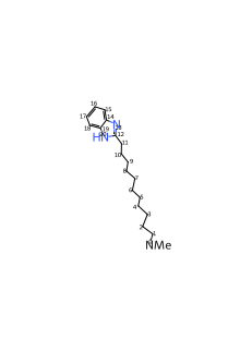 CNCCCCCCCCCCCc1nc2ccccc2[nH]1